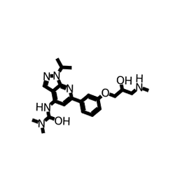 CNCC(O)COc1cccc(-c2cc(NC(O)N(C)C)c3cnn(C(C)C)c3n2)c1